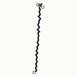 C[Si](Cl)(Cl)CCCCCCCCCCCCCCCCCCCCCCCCCCCCCCCl